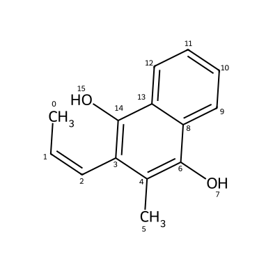 C/C=C\c1c(C)c(O)c2ccccc2c1O